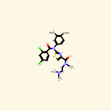 COc1ccc(N(C(=O)c2ccc(Cl)cc2Cl)c2nc(C(=O)N(C)CCN(C)C)cs2)cc1OC